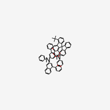 CC(C)(C)c1cccc2c1-c1ccc3ccccc3c1C21c2ccccc2-c2ccc(N(c3ccccc3)c3cc(-c4ccccc4)cc(N(c4ccccc4)c4cc(-c5ccccc5)c5ccccc5c4)c3)cc21